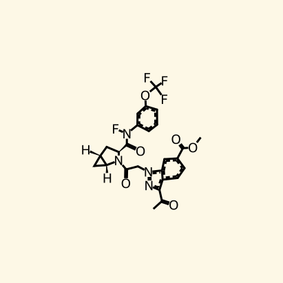 COC(=O)c1ccc2c(C(C)=O)nn(CC(=O)N3[C@@H]4C[C@@H]4C[C@H]3C(=O)N(F)c3cccc(OC(F)(F)F)c3)c2c1